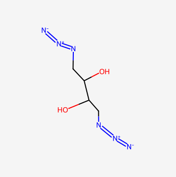 [N-]=[N+]=NCC(O)C(O)CN=[N+]=[N-]